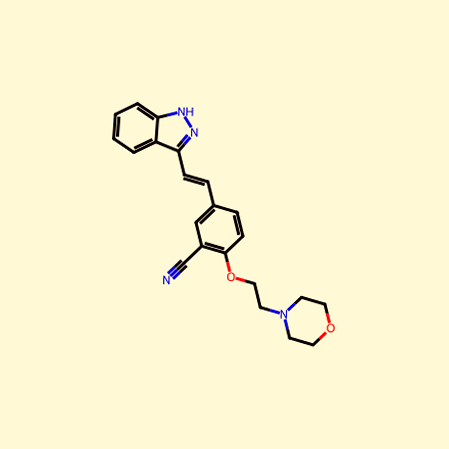 N#Cc1cc(/C=C/c2n[nH]c3ccccc23)ccc1OCCN1CCOCC1